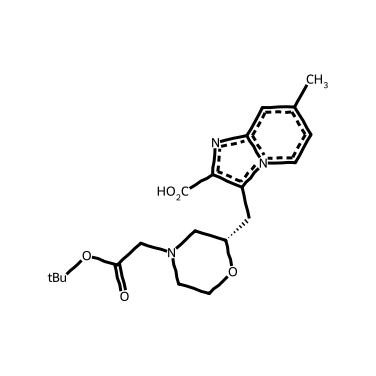 Cc1ccn2c(C[C@H]3CN(CC(=O)OC(C)(C)C)CCO3)c(C(=O)O)nc2c1